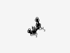 CC(C)(CC1COC(=O)O1)O[C@H]1CO[C@@H]2[C@H]1OC[C@H]2OCC(O)CC(C)(C)O[C@@H]1CO[C@H]2[C@@H]1OC[C@@H]2OCC1COC(=O)O1